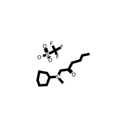 CCCCC(=O)C[S+](C)C1CCCCC1.O=S(=O)([O-])C(F)(F)F